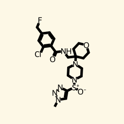 Cn1cc([S+]([O-])N2CCN(C3(CNC(=O)c4ccc(CF)cc4Cl)CCOCC3)CC2)nn1